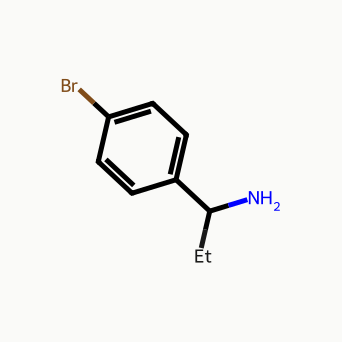 CCC(N)c1ccc(Br)cc1